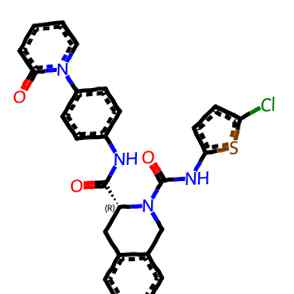 O=C(Nc1ccc(-n2ccccc2=O)cc1)[C@H]1Cc2ccccc2CN1C(=O)Nc1ccc(Cl)s1